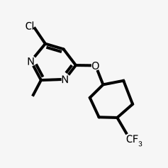 Cc1nc(Cl)cc(OC2CCC(C(F)(F)F)CC2)n1